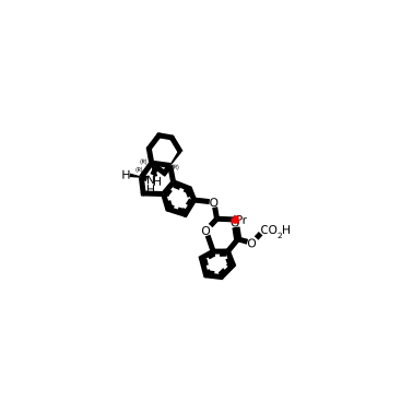 CC(C)C(Oc1ccc2c(c1)[C@@]13CCCC[C@H]1[C@@H](C2)NCC3)Oc1ccccc1C(=O)OC(=O)O